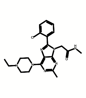 CCN1CCN(c2nc(C)nc3c2nc(-c2ccccc2Cl)n3CC(=O)NC)CC1